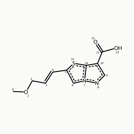 COC/C=C/c1cn2ncc(C(=O)O)c2s1